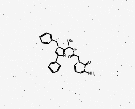 CC(C)(C)[C@@H](NC(=O)Cn1cccc(N)c1=O)c1nc(-c2ccccc2)cn1Cc1ccccc1